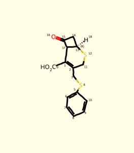 O=C(O)C1=C(CSc2ccccc2)CS[C@@H]2CC(=O)C12